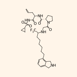 C=CCC(NC(=O)[C@@H]1CCCN1C(=O)CNC(CCCCCCc1cccc2c1CNC2)C(F)(F)F)C(=O)NS(=O)(=O)C1CC1